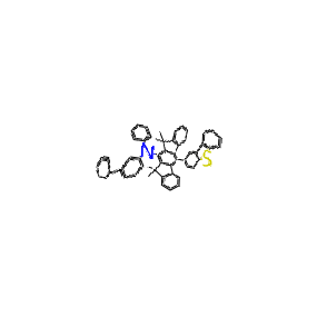 CC1(C)c2ccccc2-c2c(-c3ccc4sc5ccccc5c4c3)c3c(c(N(c4ccccc4)c4cccc(-c5ccccc5)c4)c21)C(C)(C)c1ccccc1-3